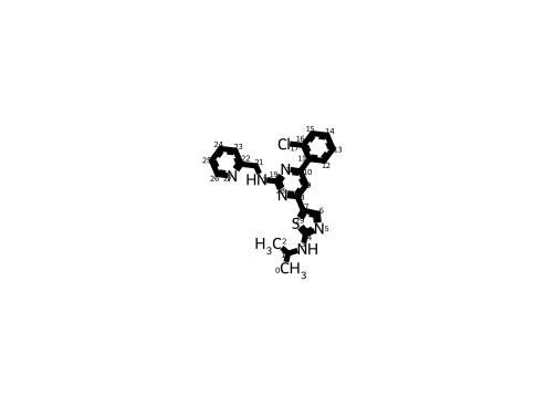 CC(C)Nc1ncc(-c2cc(-c3ccccc3Cl)nc(NCc3ccccn3)n2)s1